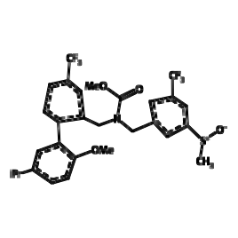 COC(=O)N(Cc1cc([S+](C)[O-])cc(C(F)(F)F)c1)Cc1cc(C(F)(F)F)ccc1-c1cc(C(C)C)ccc1OC